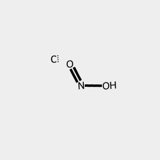 O=NO.[C]